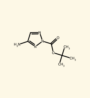 CC(C)(C)OC(=O)n1ncc(N)n1